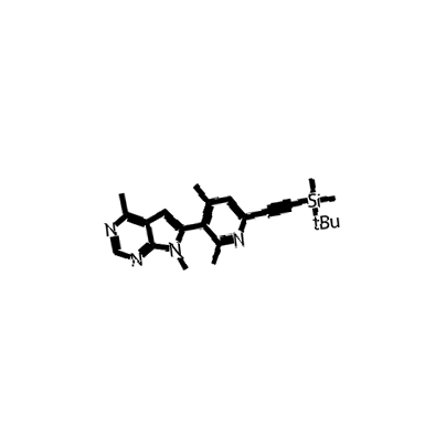 Cc1cc(C#C[Si](C)(C)C(C)(C)C)nc(C)c1-c1cc2c(C)ncnc2n1C